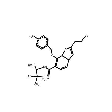 CCC(C)(C)[C@H](NC(=O)C1=C(OCc2ccc(C(F)(F)F)cc2)C2SC(CCC(C)C)=CC2C=C1)C(=O)O